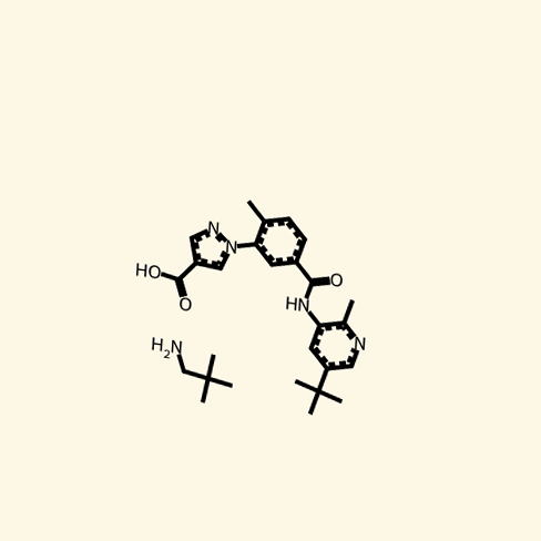 CC(C)(C)CN.Cc1ccc(C(=O)Nc2cc(C(C)(C)C)cnc2C)cc1-n1cc(C(=O)O)cn1